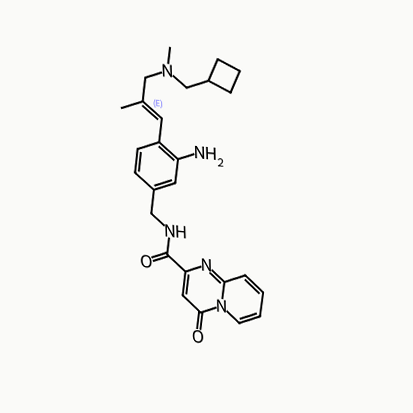 C/C(=C\c1ccc(CNC(=O)c2cc(=O)n3ccccc3n2)cc1N)CN(C)CC1CCC1